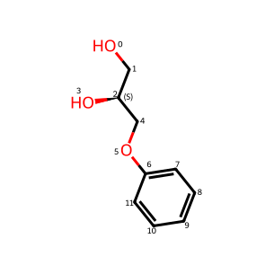 OC[C@H](O)COc1ccccc1